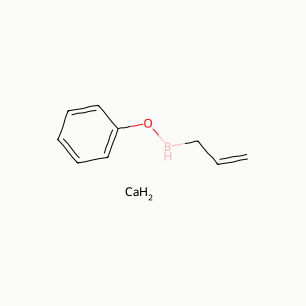 C=CCBOc1ccccc1.[CaH2]